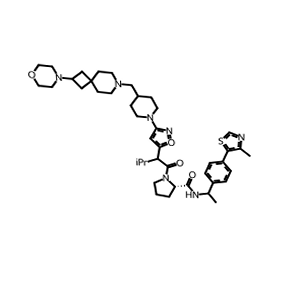 Cc1ncsc1-c1ccc(C(C)NC(=O)[C@@H]2CCCN2C(=O)C(c2cc(N3CCC(CN4CCC5(CC4)CC(N4CCOCC4)C5)CC3)no2)C(C)C)cc1